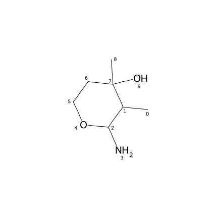 CC1C(N)OCCC1(C)O